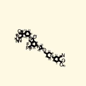 COC(=O)c1ccc(N2CCC(COC3CN(c4cc5c(c(C(F)(F)F)c4)CN(c4cccc(C6(Cc7nncn7C)COC6)c4)C5=O)C3)CC2)cc1C#N